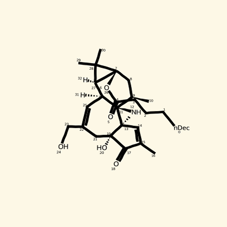 CCCCCCCCCCCCCC(=O)O[C@@]12C[C@@H](C)[C@]34N[C@@]35C=C(C)C(=O)[C@@]5(O)CC(CO)=C[C@H]4[C@H]1C2(C)C